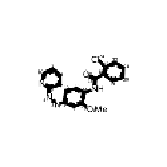 COc1cc(/N=N\c2ccccn2)ccc1NC(=O)c1ccccc1Cl